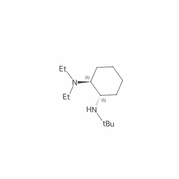 CCN(CC)[C@H]1CCCC[C@@H]1NC(C)(C)C